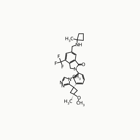 CO[C@]1(C)C[C@](c2cccc(N3Cc4c(cc(CNC5(C)CCC5)cc4C(F)(F)F)C3=O)c2)(c2nncn2C)C1